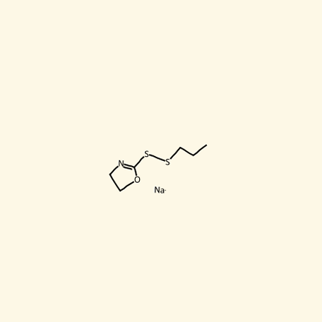 CCCSSC1=NCCO1.[Na]